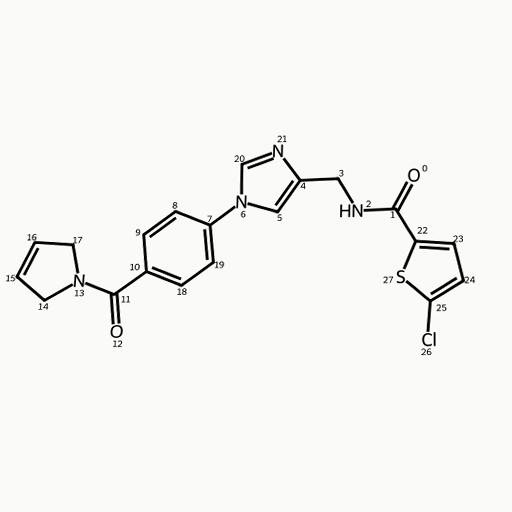 O=C(NCc1cn(-c2ccc(C(=O)N3CC=CC3)cc2)cn1)c1ccc(Cl)s1